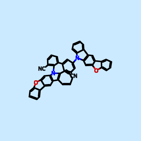 N#Cc1cccc(C2=CC(n3c4ccccc4c4cc5c(cc43)oc3ccccc35)=CC(C#N)C2)c1-n1c2c(c3cc4c(cc31)oc1ccccc14)C=CCC#C2